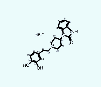 Br.O=c1[nH]c2ccccc2n1C1CCN(CCc2ccc(O)c(O)c2)CC1